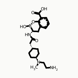 CN(CCN)[C@H]1CC[C@H](CC(=O)N[C@H]2Cc3cccc(C(=O)O)c3OB2O)CC1